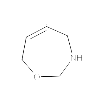 [C]1=CCOCNC1